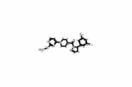 CSc1nccc(N2CCC(C(=O)N3N=CCC3c3cc(F)cc(F)c3)CC2)n1